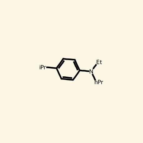 CCCN(CC)c1ccc(C(C)C)cc1